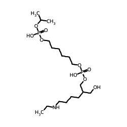 CCNCCCCC(CO)COP(=O)(O)OCCCCCCOP(=O)(O)OC(C)C